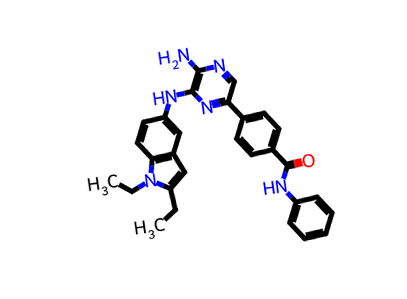 CCc1cc2cc(Nc3nc(-c4ccc(C(=O)Nc5ccccc5)cc4)cnc3N)ccc2n1CC